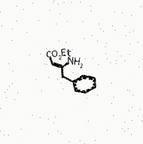 CCOC(=O)/C=C(\N)Cc1ccccc1